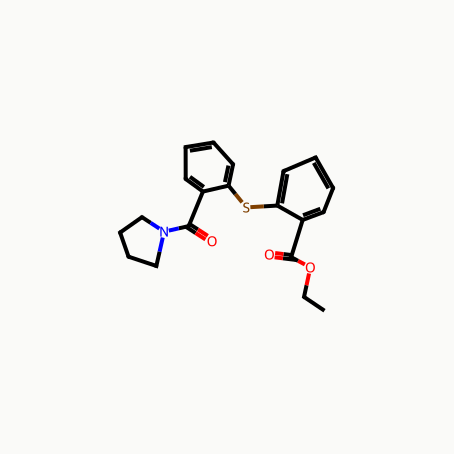 CCOC(=O)c1ccccc1Sc1ccccc1C(=O)N1CCCC1